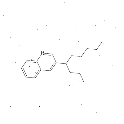 CCCCCC(CCC)c1cnc2ccccc2c1